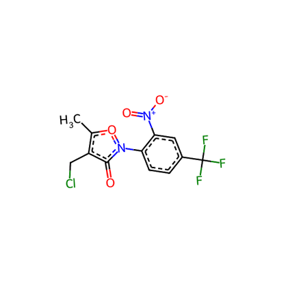 Cc1on(-c2ccc(C(F)(F)F)cc2[N+](=O)[O-])c(=O)c1CCl